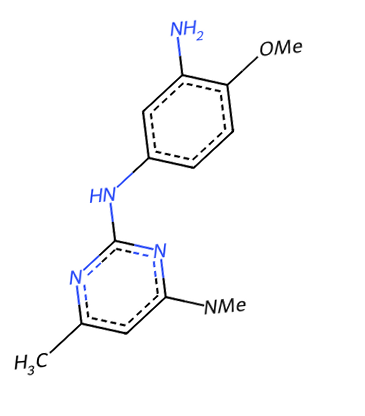 CNc1cc(C)nc(Nc2ccc(OC)c(N)c2)n1